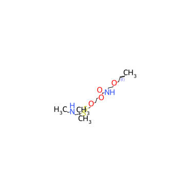 C/C=C/COCCNC(=O)OCCOCSSC(C)(C)CNCC